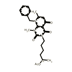 CC(=O)O[C@H](C)CCCCn1c(=O)c2c(=O)cc(C)n(Cc3ccccc3)c2n(C)c1=O